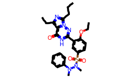 CCCc1nc(CC)c2c(=O)[nH]c(-c3cc(S(=O)(=O)N(C)N(C)c4ccccc4)ccc3OCC)nn12